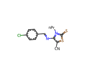 CCCn1c(N=Cc2ccc(Cl)cc2)c(C#N)sc1=S